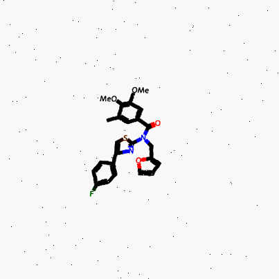 COc1cc(C(=O)N(Cc2ccco2)c2nc(-c3ccc(F)cc3)cs2)cc(C)c1OC